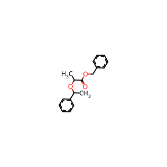 CC(OC(C)c1ccccc1)C(=O)OCc1ccccc1